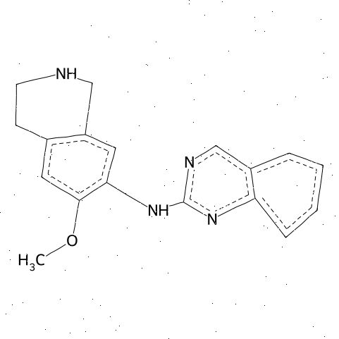 COc1cc2c(cc1Nc1ncc3ccccc3n1)CNCC2